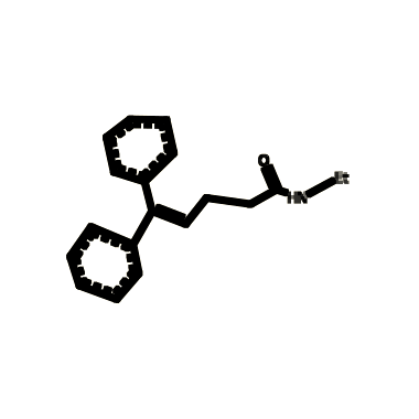 CCNC(=O)CCC=C(c1ccccc1)c1ccccc1